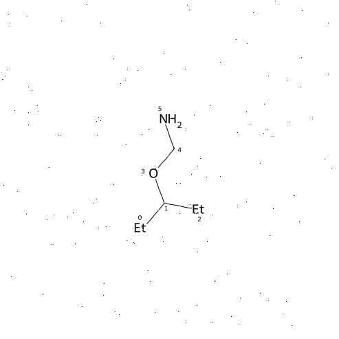 CCC(CC)OCN